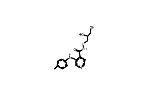 O=C(NOCC(O)CO)c1ccncc1Nc1ccc(I)cc1